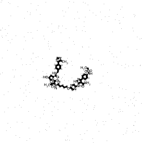 CCS(=O)(=O)Nc1ccc(-c2n[nH]c(Nc3cnc(OCCCCC(=O)NC(C(=O)N4C[C@H](O)C[C@H]4C(=O)NCc4ccc(-c5scnc5C)cc4)C(C)(C)C)cn3)c2C(N)=O)cc1